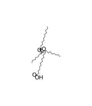 CCCCCCCCCCCC(=O)[O][Sn]([CH2]CCCCCCC)([CH2]CCCCCCC)[CH2]CCCCCCCCCCC(=O)O